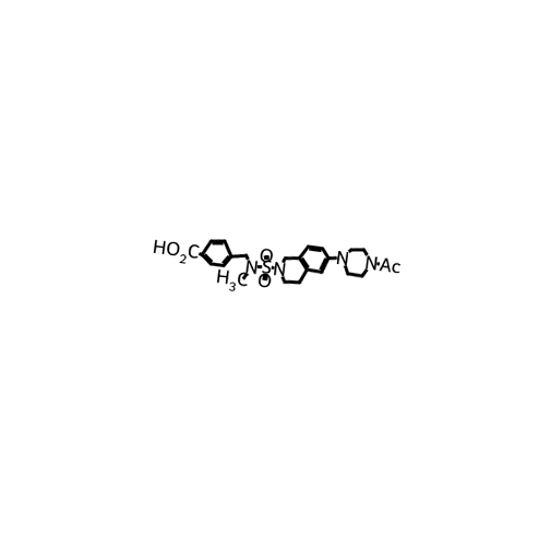 CC(=O)N1CCN(c2ccc3c(c2)CCN(S(=O)(=O)N(C)Cc2ccc(C(=O)O)cc2)C3)CC1